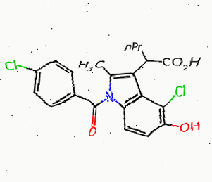 CCCC(C(=O)O)c1c(C)n(C(=O)c2ccc(Cl)cc2)c2ccc(O)c(Cl)c12